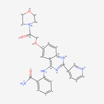 NC(=O)c1ccccc1Nc1nc(-c2cccnc2)nc2ccc(OCC(=O)N3CCOCC3)cc12